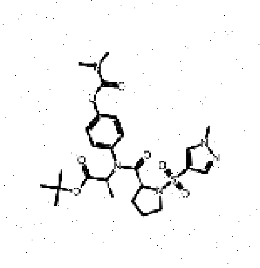 C[C@@H](C(=O)OC(C)(C)C)N(C(=O)[C@@H]1CCCN1S(=O)(=O)c1cnn(C)c1)c1ccc(OC(=O)N(C)C)cc1